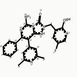 COc1ncc(F)cc1Cn1[nH]c2c(-c3cc(C)nc(C)c3)c(-c3ccccc3)nc(N)[n+]2c1=O